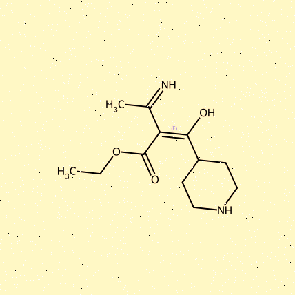 CCOC(=O)/C(C(C)=N)=C(/O)C1CCNCC1